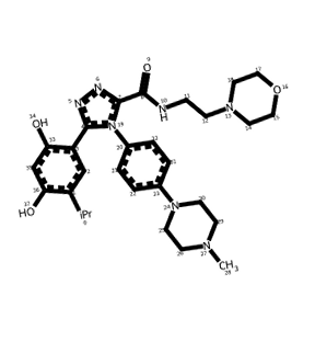 CC(C)c1cc(-c2nnc(C(=O)NCCN3CCOCC3)n2-c2ccc(N3CCN(C)CC3)cc2)c(O)cc1O